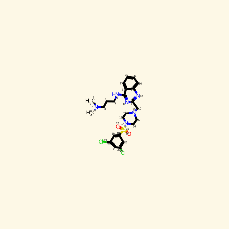 CN(C)CCCNc1nc(CN2CCN(S(=O)(=O)c3cc(Cl)cc(Cl)c3)CC2)nc2ccccc12